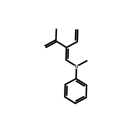 C=C/C(=C\N(C)c1ccccc1)C(=C)C